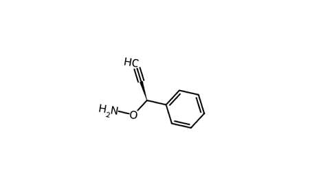 C#C[C@H](ON)c1ccccc1